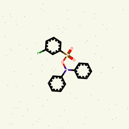 O=S(=O)(O[I+](c1ccccc1)c1ccccc1)c1cccc(F)c1